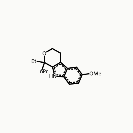 CCCC1(CC)OCCc2c1[nH]c1ccc(OC)cc21